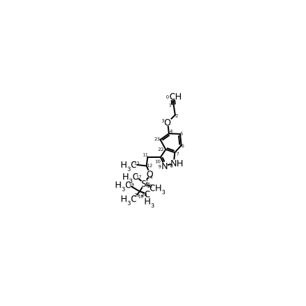 C#CCOc1ccc2[nH]nc(CC(C)O[Si](C)(C)C(C)(C)C)c2c1